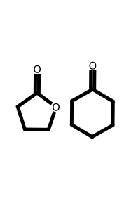 O=C1CCCCC1.O=C1CCCO1